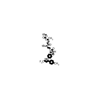 Cc1ccc(-c2cc(C(F)(F)F)nn2-c2ccc(S(=O)(=O)NC(=O)OCCN([N+]([O-])=NOC(C)OC(=O)OC(C)(C)C)C(C)(C)C)cc2)cc1